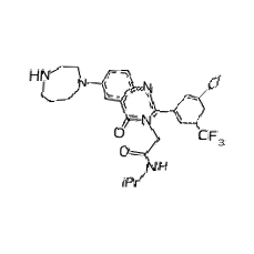 CC(C)NC(=O)Cn1c(C2=CC(C(F)(F)F)CC(Cl)=C2)nc2ccc(N3CCCNCC3)cc2c1=O